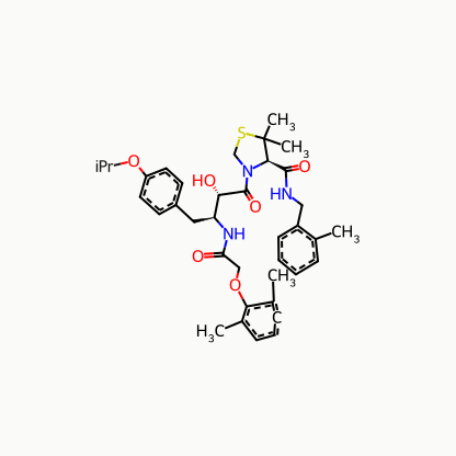 Cc1ccccc1CNC(=O)[C@H]1N(C(=O)[C@@H](O)[C@H](Cc2ccc(OC(C)C)cc2)NC(=O)COc2c(C)cccc2C)CSC1(C)C